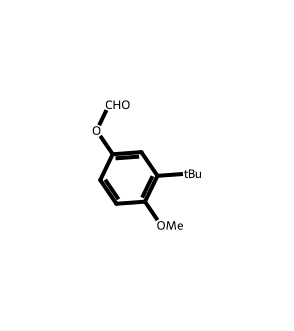 COc1ccc(OC=O)cc1C(C)(C)C